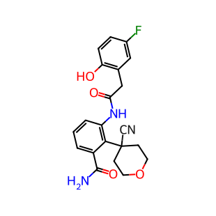 N#CC1(c2c(NC(=O)Cc3cc(F)ccc3O)cccc2C(N)=O)CCOCC1